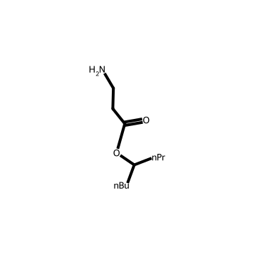 CCCCC(CCC)OC(=O)CCN